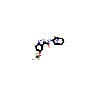 CN1C2CCCC1CC(NC(=O)C1=NN=C3CC=C(OC(F)(F)F)C=C31)C2